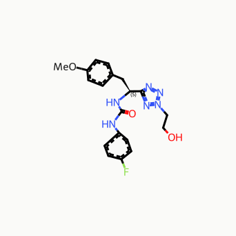 COc1ccc(C[C@H](NC(=O)Nc2ccc(F)cc2)c2nnn(CCO)n2)cc1